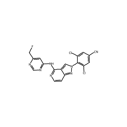 N#Cc1cc(Cl)c(-n2cc3c(Nc4cc(CF)ncn4)nccc3n2)c(Cl)c1